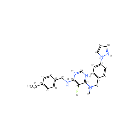 CN(Cc1ccc(-n2cccn2)cc1)c1ncnc(NCc2ccc(S(=O)(=O)O)cc2)c1F